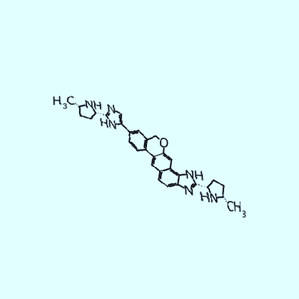 C[C@H]1CC[C@@H](c2ncc(-c3ccc4c(c3)COc3cc5c(ccc6nc([C@@H]7CC[C@H](C)N7)[nH]c65)cc3-4)[nH]2)N1